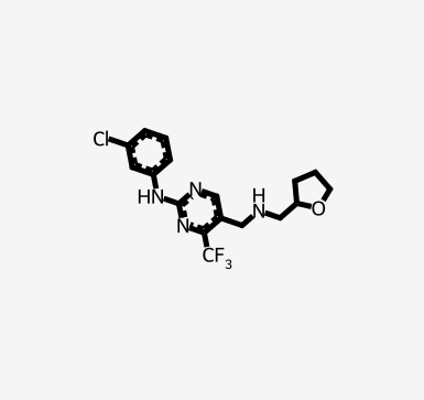 FC(F)(F)c1nc(Nc2cccc(Cl)c2)ncc1CNCC1CCCO1